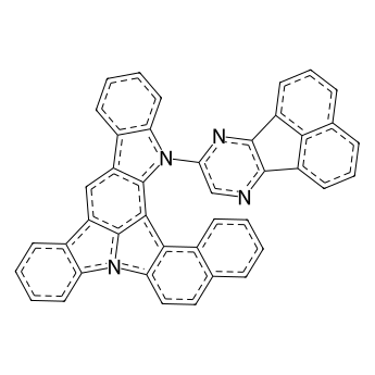 c1cc2c3c(cccc3c1)-c1nc(-n3c4ccccc4c4cc5c6ccccc6n6c7ccc8ccccc8c7c(c43)c56)cnc1-2